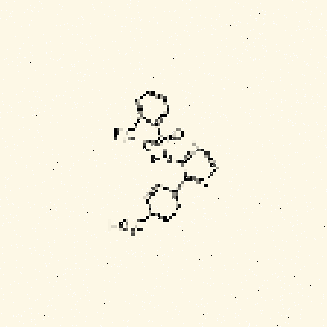 O=C(O)c1ccc(-c2nccnc2NS(=O)(=O)c2ccccc2C(F)(F)F)cc1